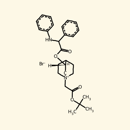 CC(C)(C)OC(=O)C[N+]12CCC(CC1)[C@@H](OC(=O)C(Nc1ccccc1)c1ccccc1)C2.[Br-]